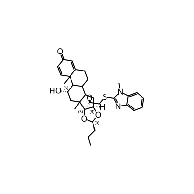 CCC[C@@H]1O[C@@H]2CC3C4CCC5=CC(=O)C=CC5(C)C4[C@@H](O)CC3(C)[C@]2(C(=O)CSc2nc3ccccc3n2C)O1